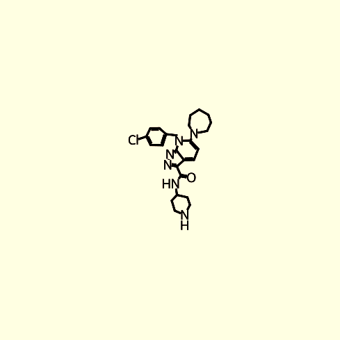 O=C(NC1CCNCC1)c1nnc2n(Cc3ccc(Cl)cc3)c(N3CCCCCC3)ccc1-2